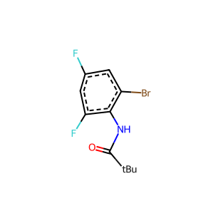 CC(C)(C)C(=O)Nc1c(F)cc(F)cc1Br